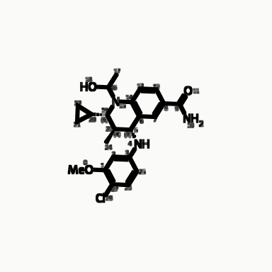 COc1cc(N[C@H]2c3cc(C(N)=O)ccc3N(C(C)O)[C@@H](C3CC3)[C@@H]2C)ccc1Cl